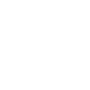 O=CC12CCC(C=O)(CC1)C21c2ccccc2-c2ccccc21